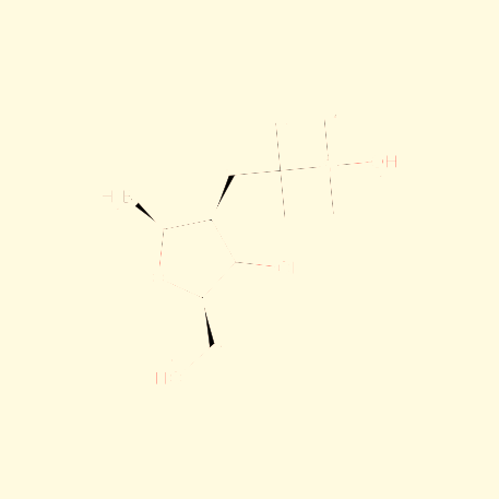 B[C@@H]1O[C@H](CO)C(O)[C@@H]1CC(C)(C)[Si](C)(C)O